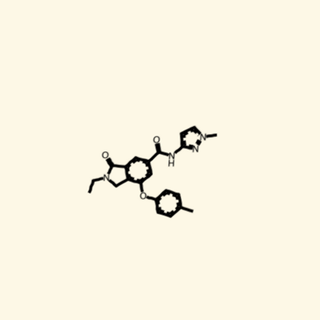 CCN1Cc2c(Oc3ccc(C)cc3)cc(C(=O)Nc3ccn(C)n3)cc2C1=O